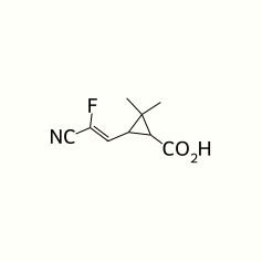 CC1(C)C(C=C(F)C#N)C1C(=O)O